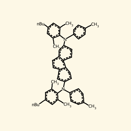 CCCCc1cc(C)c(N(c2ccc(C)cc2)c2ccc3c(ccc4cc(N(c5ccc(C)cc5)c5c(C)cc(CCCC)cc5C)ccc43)c2)c(C)c1